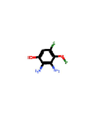 Nc1c(O)cc(Cl)c(OCl)c1N